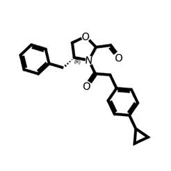 O=CC1OC[C@@H](Cc2ccccc2)N1C(=O)Cc1ccc(C2CC2)cc1